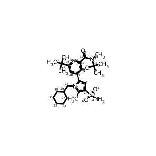 Cc1c(S(N)(=O)=O)cc(-c2cc(C(=O)N(C)C(C)(C)C)nc(C(C)(C)C)c2)n1CC1CCCCC1